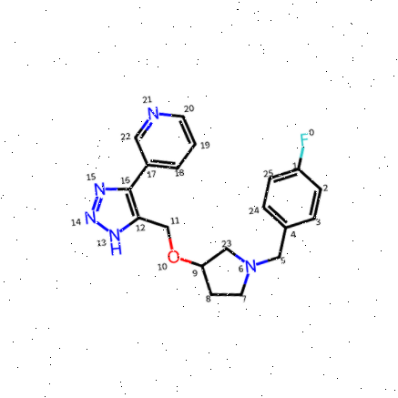 Fc1ccc(CN2CCC(OCc3[nH]nnc3-c3cccnc3)C2)cc1